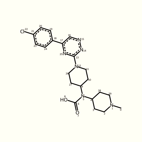 CN1CCC(N(C(=O)O)C2CCN(c3nncc(-c4ccc(Cl)cc4)n3)CC2)CC1